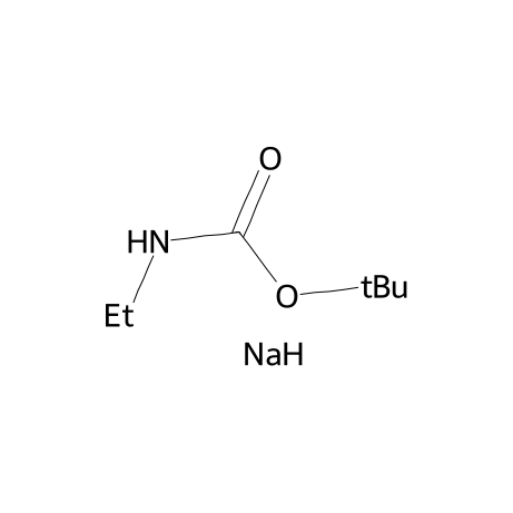 CCNC(=O)OC(C)(C)C.[NaH]